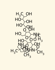 CC(=O)NC1C(OC2C(CO)OC(OC(C)(C)CC(C)(C)CN)C(NC(C)=O)C2O)OC(CO)C(OC(O)C(O)C(O)C(O)C(C)CO)C1O